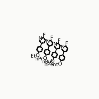 CCCCCOc1ccc(-c2ccc(F)nc2)cc1.CCCCOc1ccc(-c2ccc(F)nc2)cc1.CCCOc1ccc(-c2ccc(F)nc2)cc1.CCOc1ccc(-c2ccc(F)nc2)cc1